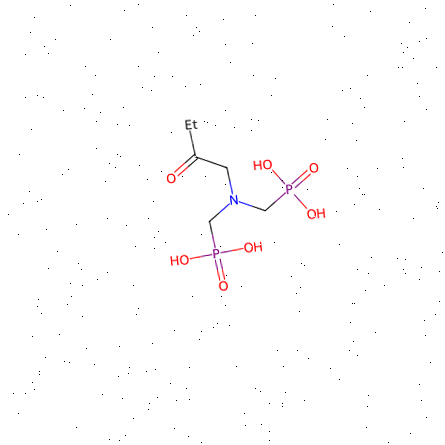 CCC(=O)CN(CP(=O)(O)O)CP(=O)(O)O